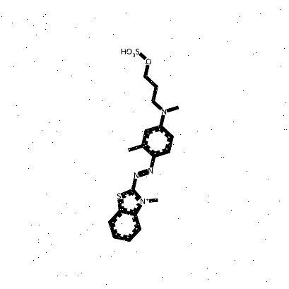 Cc1cc(N(C)CCCOS(=O)(=O)O)ccc1N=Nc1sc2ccccc2[n+]1C